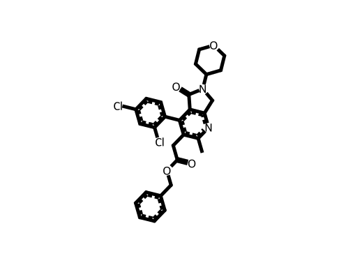 Cc1nc2c(c(-c3ccc(Cl)cc3Cl)c1CC(=O)OCc1ccccc1)C(=O)N(C1CCOCC1)C2